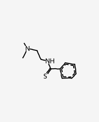 CN(C)CCNC(=S)c1ccccc1